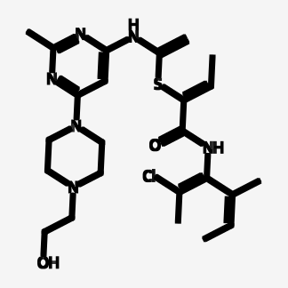 C=C(Nc1cc(N2CCN(CCO)CC2)nc(C)n1)S/C(=C\C)C(=O)NC(/C(C)=C\C)=C(/C)Cl